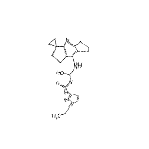 CCn1ccc([SH](=O)=NC(O)Nc2c3c(nc4c2CCC42CC2)CCC3)n1